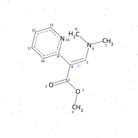 COC(=O)/C(=C/N(C)C)c1ccccn1